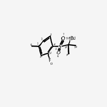 Cc1ccc(S(=O)(=O)C(C)(C)C(C)(C)C)c(F)c1